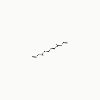 C=CCS/C=C/C=C/SCC=C